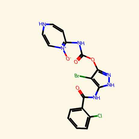 O=C(NC1=[N+]([O-])C=CNC=C1)Oc1n[nH]c(NC(=O)c2ccccc2Cl)c1Br